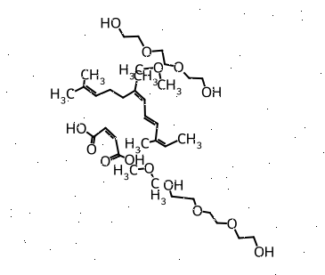 CC=C(C)C=CC=C(C)CCC=C(C)C.COC.COC.O=C(O)/C=C\C(=O)O.OCCOCCOCCO.OCCOCCOCCO